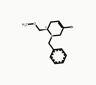 COC[C@H]1CC=C(Br)CN1Cc1ccccc1